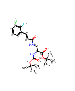 CC(C)(C)OC(=O)NC(CNC(=O)/C=C/c1cccc(Cl)c1F)C(=O)OC(C)(C)C